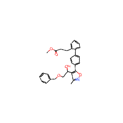 COC(=O)CCc1ccccc1-c1ccc(-c2onc(C)c2C(O)COCc2ccccc2)cc1